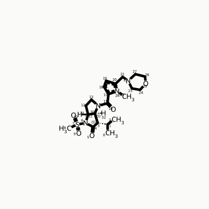 CC(C)[C@@H]1C(=O)N(S(C)(=O)=O)[C@@H]2CCN(C(=O)c3ccc(CN4CCOCC4)n3C)[C@H]21